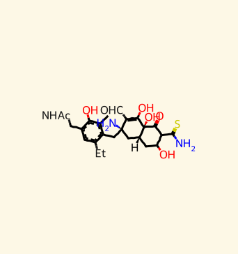 CCc1cc(CNC(C)=O)c(O)c(C)c1C[C@@]1(N)C[C@H]2CC(O)C(C(N)=S)C(=O)[C@@]2(O)C(O)=C1C=O